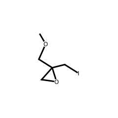 COCC1(CI)CO1